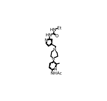 CCNC(=O)Nc1cc(CN2CCN(c3ccc(NC(C)=O)nc3C)CC2)ccn1